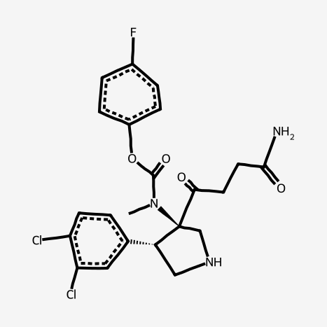 CN(C(=O)Oc1ccc(F)cc1)[C@@]1(C(=O)CCC(N)=O)CNC[C@@H]1c1ccc(Cl)c(Cl)c1